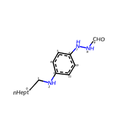 CCCCCCCCNc1ccc(NNC=O)cc1